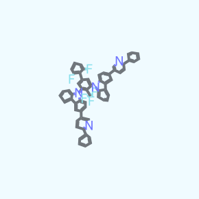 Fc1cccc(F)c1-c1cc(-n2c3ccccc3c3cc(-c4ccc(-c5ccccc5)nc4)ccc32)c(C(F)(F)F)c(-n2c3ccccc3c3cc(-c4ccc(-c5ccccc5)nc4)ccc32)c1